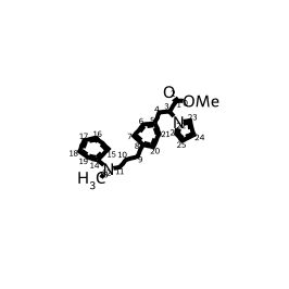 COC(=O)C(Cc1ccc(CCCN(C)c2ccccc2)cc1)n1cccc1